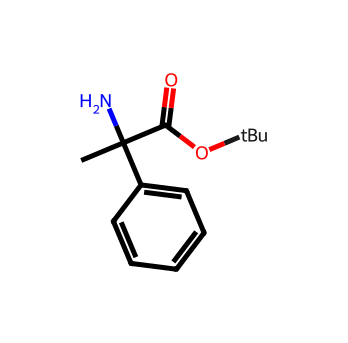 CC(C)(C)OC(=O)C(C)(N)c1ccccc1